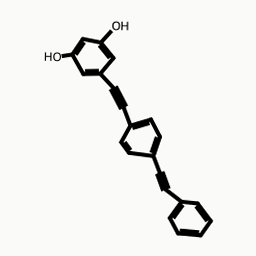 Oc1cc(O)cc(C#Cc2ccc(C#Cc3ccccc3)cc2)c1